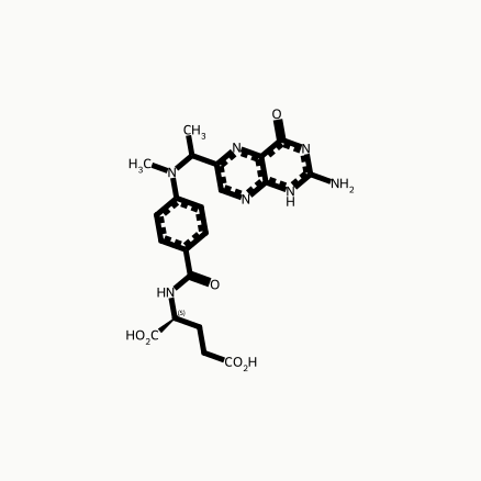 CC(c1cnc2[nH]c(N)nc(=O)c2n1)N(C)c1ccc(C(=O)N[C@@H](CCC(=O)O)C(=O)O)cc1